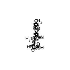 Cc1ccc(S(=O)(=O)OCC2Cc3c(C#N)nc(OCC4CNC(=O)CN4C(=O)O)c(C)c3C2)cc1